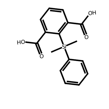 C[Si](C)(c1ccccc1)c1c(C(=O)O)cccc1C(=O)O